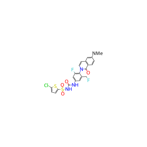 CNc1ccc2c(=O)n(-c3c(F)cc(NC(=O)NS(=O)(=O)c4ccc(Cl)s4)cc3CF)ccc2c1